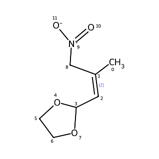 C/C(=C/C1OCCO1)C[N+](=O)[O-]